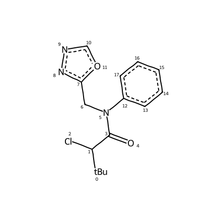 CC(C)(C)C(Cl)C(=O)N(Cc1nnco1)c1ccccc1